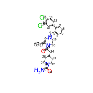 CC(C)(C)[C@H]1CN(Cc2ccccc2-c2ccc(Cl)c(Cl)c2)CCN1C(=O)CC1CCN(C(N)=O)CC1